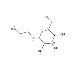 NCCO[C@@H]1OC(CO)[C@H](O)C(O)C1O